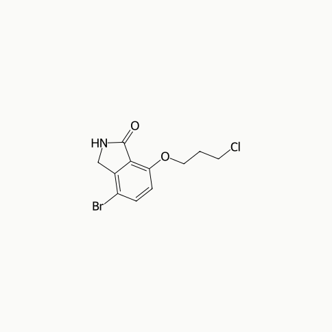 O=C1NCc2c(Br)ccc(OCCCCl)c21